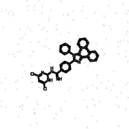 N=C(NC1N=C(Cl)C=C(Cl)N1)c1ccc(-c2nc3c4ccccc4c4ccccc4c3n2-c2ccccc2)cc1